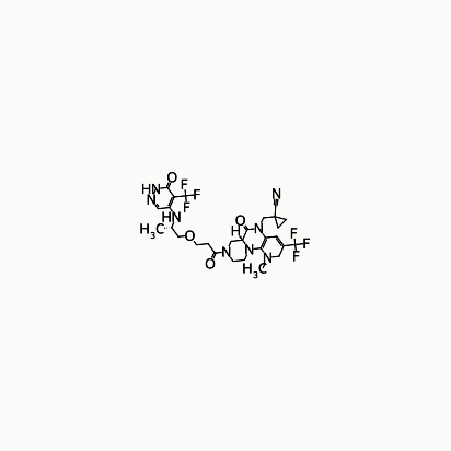 C[C@@H](COCCC(=O)N1CCN2C3=C(C=C(C(F)(F)F)CN3C)N(CC3(C#N)CC3)C(=O)[C@H]2C1)Nc1cn[nH]c(=O)c1C(F)(F)F